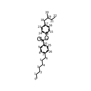 CCCCCCCc1ccc(C(=O)Oc2ccc(CC(C)CC)cc2)cc1